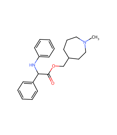 CN1CCCC(COC(=O)C(Nc2ccccc2)c2ccccc2)CC1